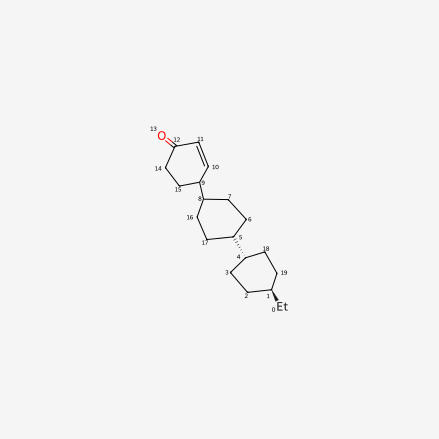 CC[C@H]1CC[C@H](C2CCC(C3C=CC(=O)CC3)CC2)CC1